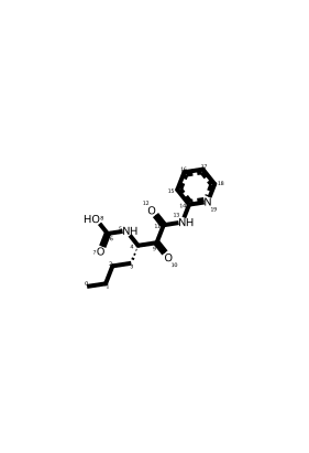 CCCC[C@H](NC(=O)O)C(=O)C(=O)Nc1ccccn1